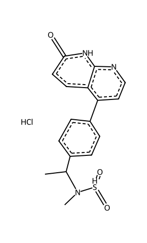 CC(c1ccc(-c2ccnc3[nH]c(=O)ccc23)cc1)N(C)[SH](=O)=O.Cl